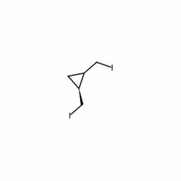 ICC1C[C@@H]1CI